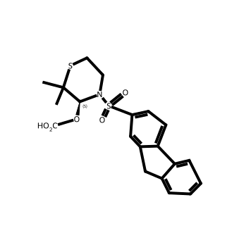 CC1(C)SCCN(S(=O)(=O)c2ccc3c(c2)Cc2ccccc2-3)[C@H]1OC(=O)O